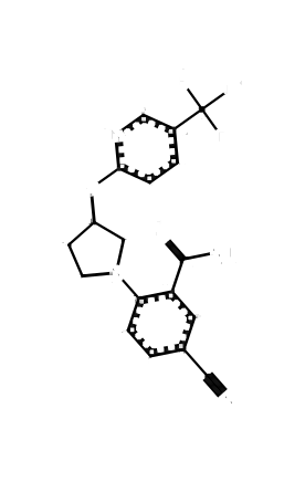 N#Cc1ccc(N2CCC(Oc3ccc(C(F)(F)F)cn3)C2)c(C(N)=O)c1